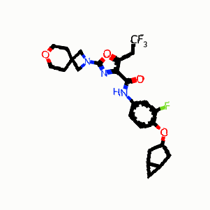 O=C(Nc1ccc(OC2CC3CC3C2)c(F)c1)c1nc(N2CC3(CCOCC3)C2)oc1CC(F)(F)F